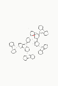 N#Cc1cc(-c2ccc(-n3c4ccc(-n5c6ccccc6c6ccccc65)cc4c4cc(-n5c6ccccc6c6ccccc65)ccc43)c(C#N)c2-n2c3ccc(-n4c5ccccc5c5ccccc54)cc3c3cc(-n4c5ccccc5c5ccccc54)ccc32)cc(C(F)(F)F)c1